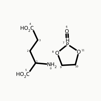 NC(CCC(=O)O)C(=O)O.O=[PH]1OCCO1